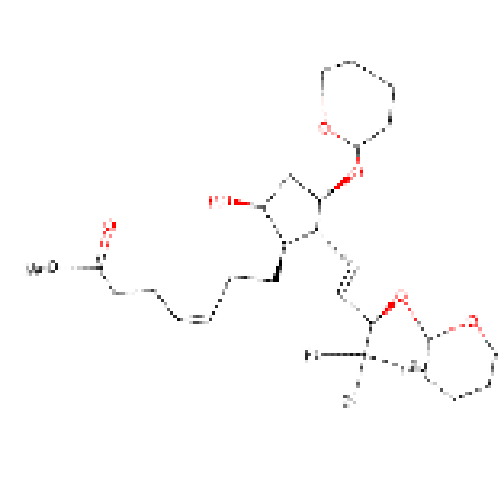 CCCCC(CC)(CC)[C@@H](/C=C/[C@@H]1[C@@H](CC/C=C\CCC(=O)OC)[C@@H](O)C[C@H]1OC1CCCCO1)OC1CCCCO1